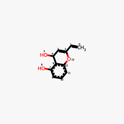 C=CC1=CC(O)c2c(O)cccc2O1